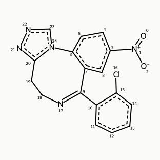 O=[N+]([O-])c1ccc2c(c1)C(c1ccccc1Cl)=NCCc1nncn1-2